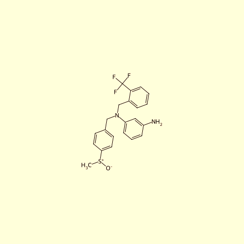 C[S+]([O-])c1ccc(CN(Cc2ccccc2C(F)(F)F)c2cccc(N)c2)cc1